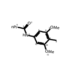 CCCC(=O)Nc1cc(OC)c(C)c(OC)c1